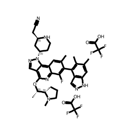 Cc1cc2[nH]ncc2c(-c2c(C)cc3c(nc(O[C@@H](C)[C@@H]4CCCN4C)c4cnn([C@H]5CCN[C@H](CC#N)C5)c43)c2F)c1C.O=C(O)C(F)(F)F.O=C(O)C(F)(F)F